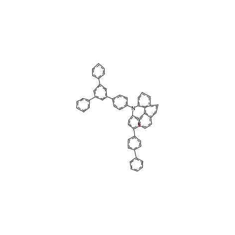 c1ccc(-c2ccc(-c3ccc(N(c4ccc(-c5cc(-c6ccccc6)cc(-c6ccccc6)c5)cc4)c4cccc5ccc6ccccc6c45)cc3)cc2)cc1